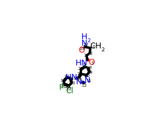 C=C(CCC(=O)Nc1ccc2ncnc(Nc3ccc(F)c(Cl)c3)c2c1)C(N)=O